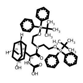 CC(C)(C)[Si](OCCN(CCO[Si](c1ccccc1)(c1ccccc1)C(C)(C)C)C(=O)[C@@H](NC(=O)O)[C@@]12C[C@@H]3C[C@@H](C[C@](O)(C3)C1)C2)(c1ccccc1)c1ccccc1